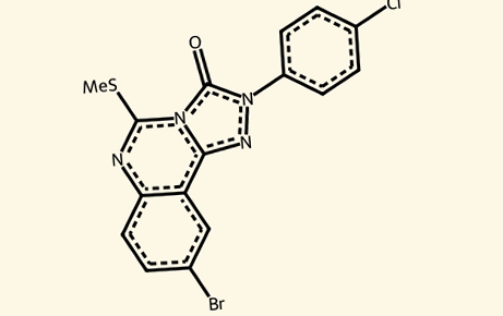 CSc1nc2ccc(Br)cc2c2nn(-c3ccc(Cl)cc3)c(=O)n12